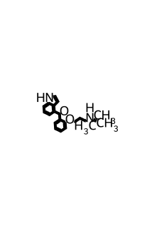 CC(C)(C)NCCCOc1ccccc1C(=O)c1cccc2[nH]ccc12